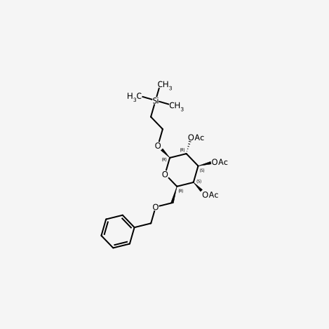 CC(=O)O[C@H]1[C@@H](OC(C)=O)[C@@H](COCc2ccccc2)O[C@@H](OCC[Si](C)(C)C)[C@@H]1OC(C)=O